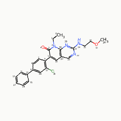 CCn1c(=O)c(-c2ccc(-c3ccccc3)cc2Cl)cc2cnc(NCCOC)nc21